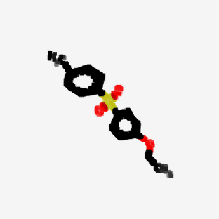 CCOc1ccc(S(=O)(=O)c2ccc(C)cc2)cc1